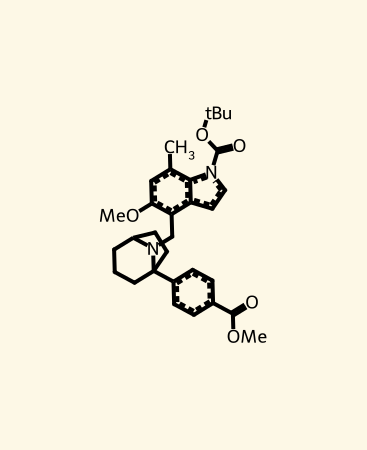 COC(=O)c1ccc(C23CCCC(CC2)N3Cc2c(OC)cc(C)c3c2ccn3C(=O)OC(C)(C)C)cc1